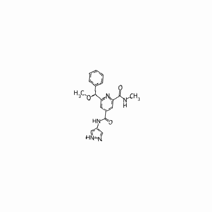 CNC(=O)c1cc(C(=O)Nc2cn[nH]c2)cc(C(OC)c2ccccc2)n1